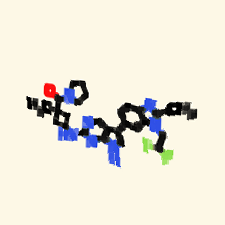 Cc1nc2ccc(-c3c[nH]c4nc(NC5CC(C)(C(=O)N6CCCC6)C5)ncc34)cc2n1CC(F)F